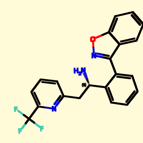 N[C@@H](Cc1cccc(C(F)(F)F)n1)c1ccccc1-c1noc2ccccc12